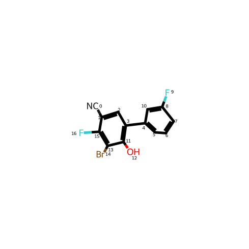 N#Cc1cc(-c2cccc(F)c2)c(O)c(Br)c1F